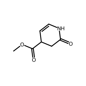 COC(=O)C1C=CNC(=O)C1